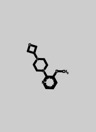 COc1cccnc1N1CCN(C2COC2)CC1